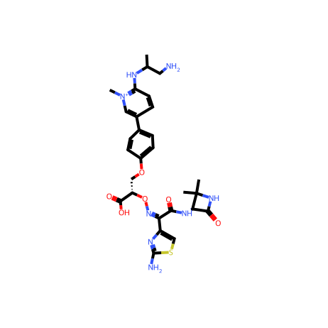 CC(CN)Nc1ccc(-c2ccc(OC[C@H](O/N=C(\C(=O)N[C@@H]3C(=O)NC3(C)C)c3csc(N)n3)C(=O)O)cc2)c[n+]1C